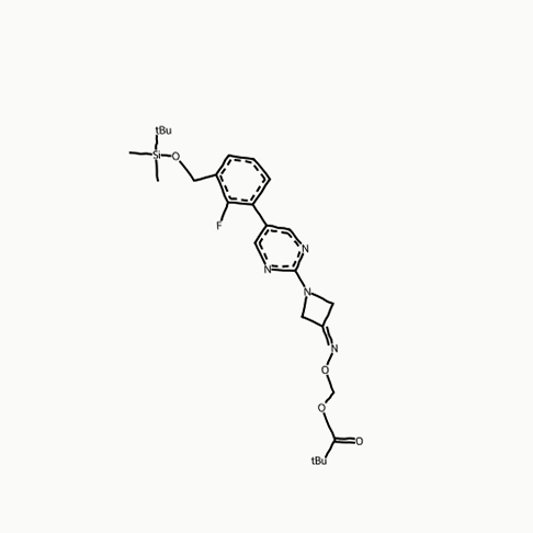 CC(C)(C)C(=O)OCON=C1CN(c2ncc(-c3cccc(CO[Si](C)(C)C(C)(C)C)c3F)cn2)C1